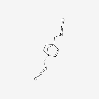 O=C=NCC12C=CC(CN=C=O)(CC1)C2